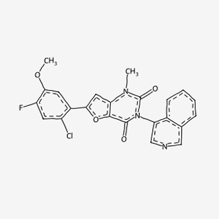 COc1cc(-c2cc3c(o2)c(=O)n(-c2cncc4ccccc24)c(=O)n3C)c(Cl)cc1F